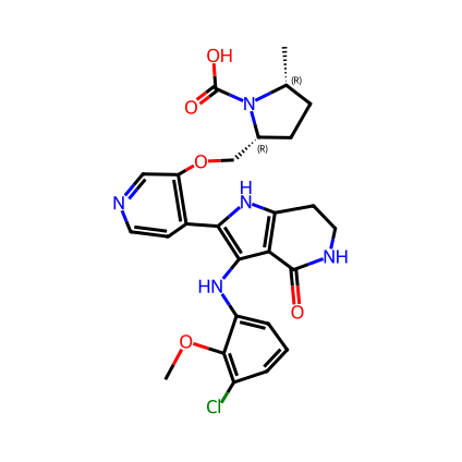 COc1c(Cl)cccc1Nc1c(-c2ccncc2OC[C@H]2CC[C@@H](C)N2C(=O)O)[nH]c2c1C(=O)NCC2